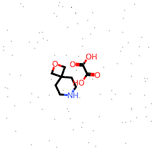 C1CC2(CCN1)COC2.O=C(O)C(=O)O